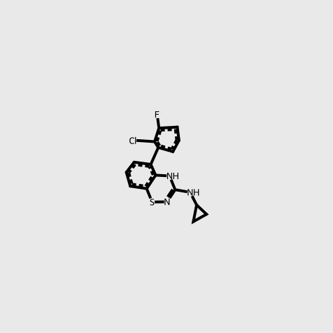 Fc1cccc(-c2cccc3c2NC(NC2CC2)=NS3)c1Cl